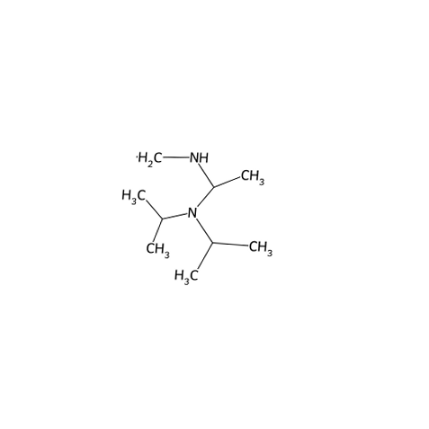 [CH2]NC(C)N(C(C)C)C(C)C